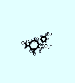 CC1C(=O)OC2CC3(C)OC3C(N(C(=O)O)c3ccc(C(C)(C)C)cc3)C(N(C)C)C3=CC(OC3=O)C21